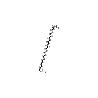 [CH2]CCC[CH]CCCCCCCCCCCCCCCCCCC